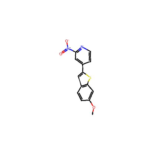 COc1ccc2cc(-c3ccnc([N+](=O)[O-])c3)sc2c1